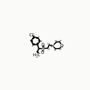 C=CC(c1ccc(Cl)cc1)S(=O)(=O)CCN1CCOCC1